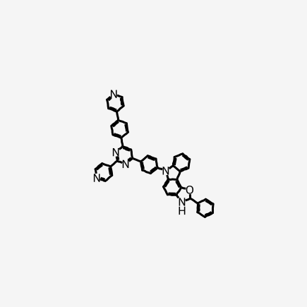 c1ccc(C2Nc3ccc4c(c3O2)c2ccccc2n4-c2ccc(-c3cc(-c4ccc(-c5ccncc5)cc4)nc(-c4ccncc4)n3)cc2)cc1